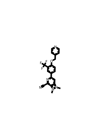 Cn1c2cc(-c3ccc(OCc4ccncc4)c(C(F)(F)F)c3)nc(C#N)c2n1C